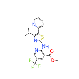 COC(=O)c1cc(C(F)(F)F)cnc1Nc1nc(C(C)C)c(-c2ccccn2)s1